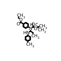 CCOC(=O)c1ccc(N(C(=O)OC(C)(C)C)C(CC)Nc2ccc(C)cc2)cc1